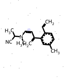 C=Cc1ccc(C)cc1C(=C)/C=C\N(C)C(C)C#N